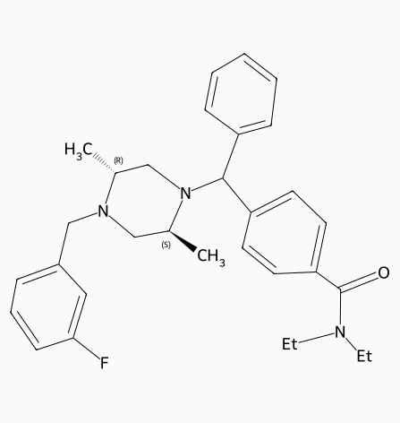 CCN(CC)C(=O)c1ccc(C(c2ccccc2)N2C[C@@H](C)N(Cc3cccc(F)c3)C[C@@H]2C)cc1